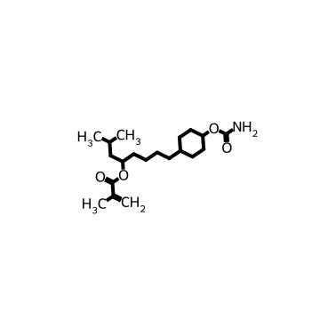 C=C(C)C(=O)OC(CCCCC1CCC(OC(N)=O)CC1)CC(C)C